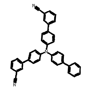 N#Cc1cccc(-c2ccc(N(c3ccc(-c4ccccc4)cc3)c3ccc(-c4cccc(C#N)c4)cc3)cc2)c1